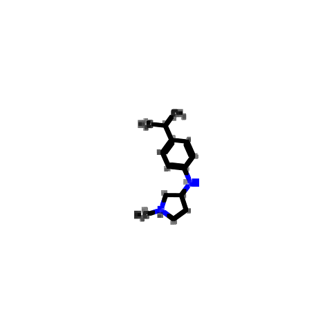 CC(C)c1ccc(NC2CCN(C)C2)cc1